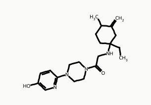 C=C1CC(CC)(NCC(=O)N2CCN(c3ccc(O)cn3)CC2)CCC1C